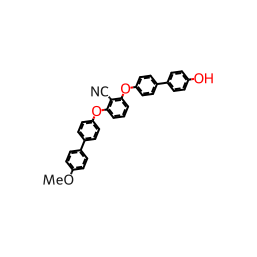 COc1ccc(-c2ccc(Oc3cccc(Oc4ccc(-c5ccc(O)cc5)cc4)c3C#N)cc2)cc1